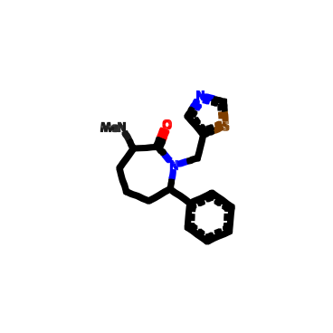 CNC1CCCC(c2ccccc2)N(Cc2cncs2)C1=O